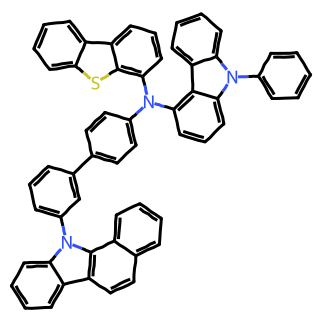 c1ccc(-n2c3ccccc3c3c(N(c4ccc(-c5cccc(-n6c7ccccc7c7ccc8ccccc8c76)c5)cc4)c4cccc5c4sc4ccccc45)cccc32)cc1